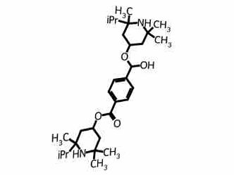 CC(C)C1(C)CC(OC(=O)c2ccc(C(O)OC3CC(C)(C)NC(C)(C(C)C)C3)cc2)CC(C)(C)N1